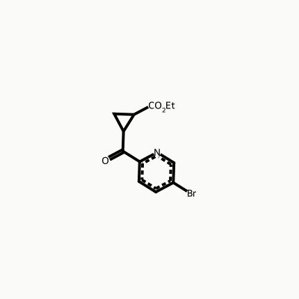 CCOC(=O)C1CC1C(=O)c1ccc(Br)cn1